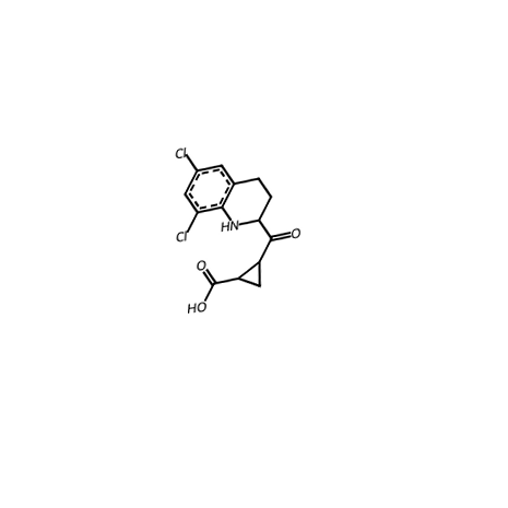 O=C(O)C1CC1C(=O)C1CCc2cc(Cl)cc(Cl)c2N1